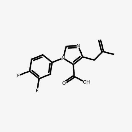 C=C(C)Cc1ncn(-c2ccc(F)c(F)c2)c1C(=O)O